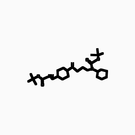 CC(C)(C)OC(=O)NCC1CCC(NCCCN(C(=O)OC(C)(C)C)C2CCCCC2)CC1